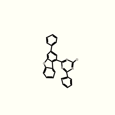 Clc1nc(-c2ccccc2)nc(-c2cc(-c3ccccc3)cc3oc4ccccc4c23)n1